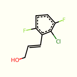 OCC=Cc1c(F)ccc(F)c1Cl